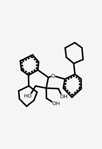 OCC(CO)(CO)C(Oc1ccccc1C1CCCCC1)c1ccccc1C1CCCCC1